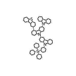 c1ccc([Si](c2ccccc2)(c2ccccc2)c2cccc(-n3c4ccccc4c4cc(-n5c6ccc(-n7c8ccccc8c8ccccc87)cc6c6c(-c7ccc8sc9ccccc9c8c7)cccc65)ccc43)c2)cc1